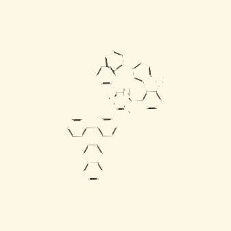 c1ccc(-c2ccc3oc4cccc(-c5nc(-c6ccccc6)nc(-c6ccc(-c7ccc8ccccc8c7)c(-c7ccccc7)c6)n5)c4c3c2)cc1